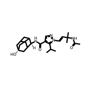 CC(=O)NC(C)(C)/C=C/n1ncc(C(=O)N[C@H]2C3CC4CC2C[C@](O)(C4)C3)c1C(C)C